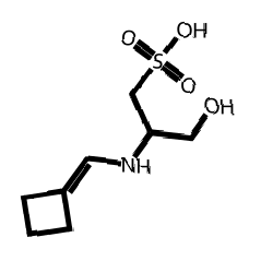 O=S(=O)(O)CC(CO)NC=C1CCC1